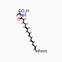 CCCCCC=CCC=CCC=CCC=CCCCC(=O)N[C@H](C)C(=O)O